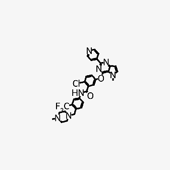 CN1CCN(Cc2ccc(NC(=O)c3cc(Oc4nc(-c5ccncc5)nc5ccn(C)c45)ccc3Cl)cc2C(F)(F)F)CC1